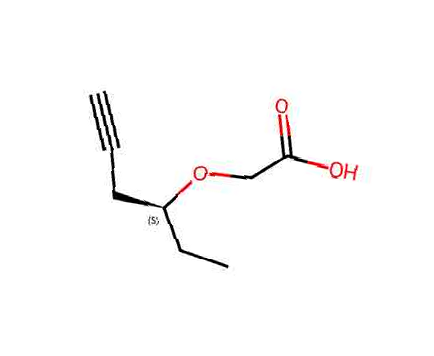 C#CC[C@H](CC)OCC(=O)O